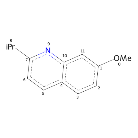 COc1ccc2ccc(C(C)C)nc2c1